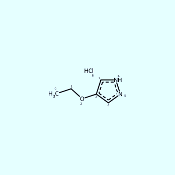 CCOc1cn[nH]c1.Cl